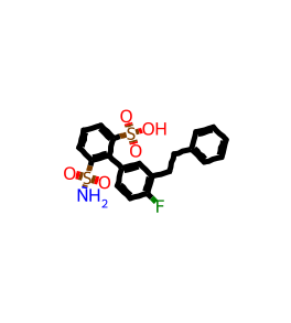 NS(=O)(=O)c1cccc(S(=O)(=O)O)c1-c1ccc(F)c(CCc2ccccc2)c1